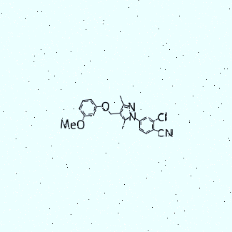 COc1cccc(OCc2c(C)nn(-c3ccc(C#N)c(Cl)c3)c2C)c1